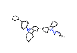 CCC/C=C\N(C)n1c2ccccc2c2cc(-c3ccc4c(c3)c3c(n4-c4ccc(C5C=CCCC5)cc4)CCCC3)ccc21